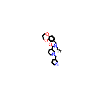 CC(C)CN(Cc1ccc2c(c1)OCCCO2)C(=O)C1CCCN(Cc2cccnc2)C1